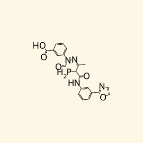 C/C(=N/N(C=O)c1cccc(C(=O)O)c1)C(P)C(=O)Nc1cccc(-c2ncco2)c1